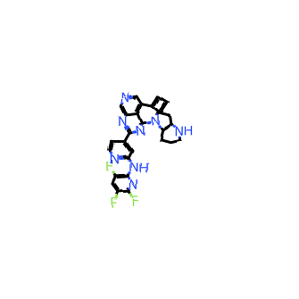 Fc1cc(F)c(Nc2cc(-c3nc(N4CCC5NCCCC54)c4c(C5=CC=C5)cncc4n3)ccn2)nc1F